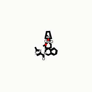 CCOC(=O)N1C2CCC1CC(N1CCC3(CC1)CN(C(=O)c1csc(C)n1)Cc1ccccc13)C2